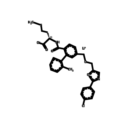 CSCC[C@H](NC(=O)c1ccc(COCc2cnc(-c3ccc(Cl)cc3)o2)cc1-c1ccccc1C)C(=O)[O-].[Li+]